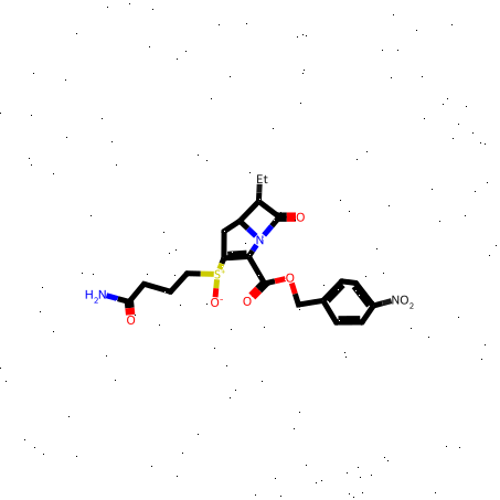 CCC1C(=O)N2C(C(=O)OCc3ccc([N+](=O)[O-])cc3)=C([S+]([O-])CCCC(N)=O)CC12